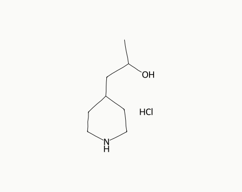 CC(O)CC1CCNCC1.Cl